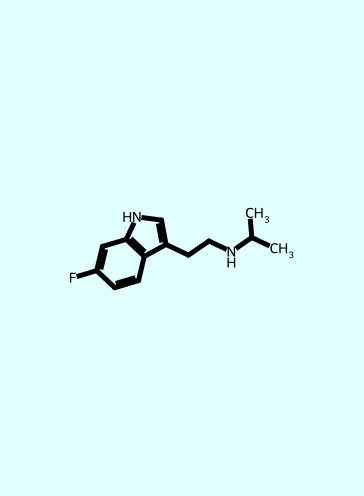 CC(C)NCCc1c[nH]c2cc(F)ccc12